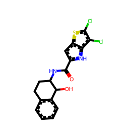 O=C(NC1CCc2ccccc2C1O)c1cc2sc(Cl)c(Cl)c2[nH]1